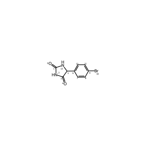 O=C1NC(=O)C(c2ccc(Br)cc2)N1